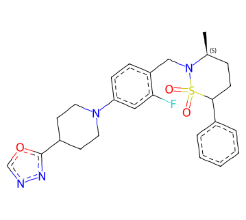 C[C@H]1CCC(c2ccccc2)S(=O)(=O)N1Cc1ccc(N2CCC(c3nnco3)CC2)cc1F